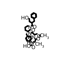 COCC(NC(=O)C(C)NC(=O)O)C(=O)N[C@@]1(Cc2ccc(Cl)cc2)CCCN(C(=O)C(CCO)Cc2ccccc2)C1